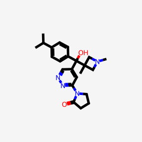 CC(C)c1ccc(C(O)(c2cnnc(N3CCCC3=O)c2)C2(C)CN(C)C2)cc1